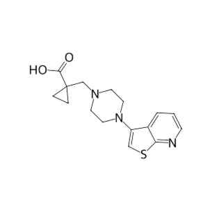 O=C(O)C1(CN2CCN(c3csc4ncccc34)CC2)CC1